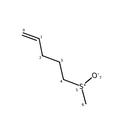 C=CCCC[S+](C)[O-]